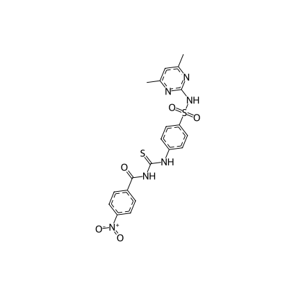 Cc1cc(C)nc(NS(=O)(=O)c2ccc(NC(=S)NC(=O)c3ccc([N+](=O)[O-])cc3)cc2)n1